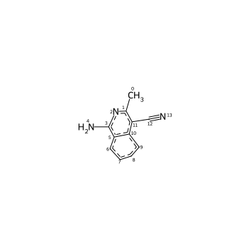 Cc1nc(N)c2ccccc2c1C#N